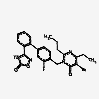 CCCc1nc(CC)c(Br)c(=O)n1Cc1ccc(-c2ccccc2-c2noc(=O)[nH]2)cc1F